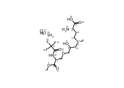 COC(=O)[C@H](COCC(O)C[S+](C)CC[C@H](N)C(=O)O)NC(=O)C(F)(F)F.Cl.S.[Cl-]